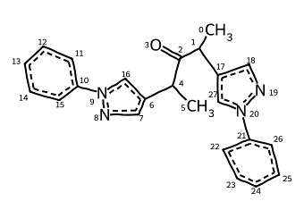 CC(C(=O)C(C)c1cnn(-c2ccccc2)c1)c1cnn(-c2ccccc2)c1